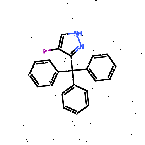 Ic1c[nH]nc1C(c1ccccc1)(c1ccccc1)c1ccccc1